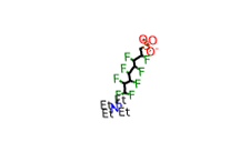 CC[N+](CC)(CC)CC.O=S(=O)([O-])CC(F)C(F)C(F)C(F)C(F)C(F)C(F)F